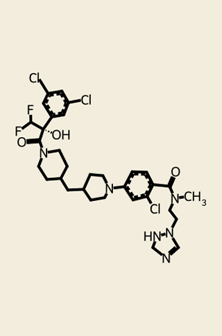 CN(CCN1C=NCN1)C(=O)c1ccc(N2CCC(CC3CCN(C(=O)[C@](O)(c4cc(Cl)cc(Cl)c4)C(F)F)CC3)CC2)cc1Cl